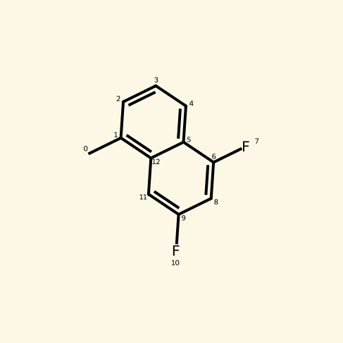 Cc1cccc2c(F)cc(F)cc12